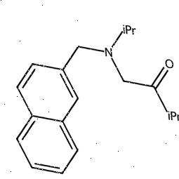 CC(C)C(=O)CN(Cc1ccc2ccccc2c1)C(C)C